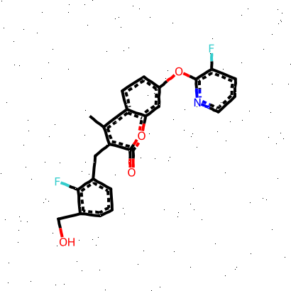 Cc1c(Cc2cccc(CO)c2F)c(=O)oc2cc(Oc3ncccc3F)ccc12